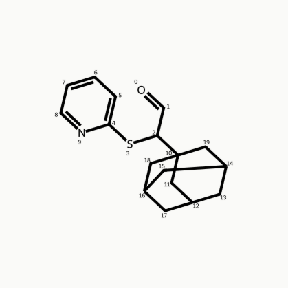 O=CC(Sc1ccccn1)C12CC3CC(CC(C3)C1)C2